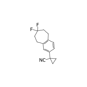 N#CC1(c2ccc3c(c2)CCC(F)(F)CC3)CC1